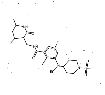 CCN(c1cc(Cl)cc(C(=O)NCC2C(=O)NC(C)CC2C)c1C)C1CCN(S(C)(=O)=O)CC1